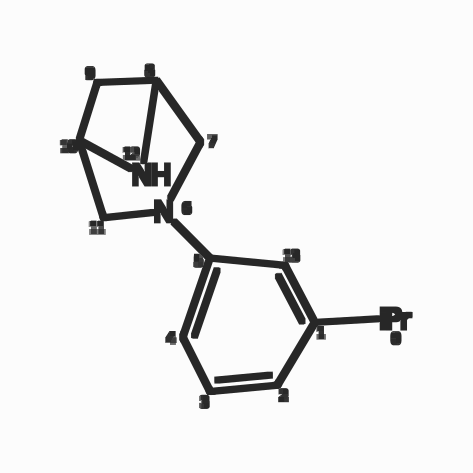 CC(C)c1cccc(N2CC3CC(C2)N3)c1